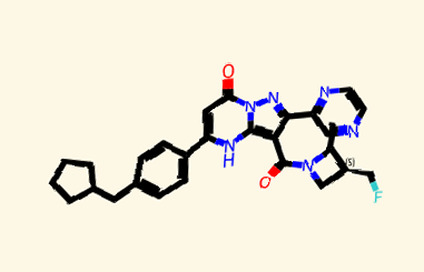 CC1[C@@H](CF)CN1C(=O)c1c(-c2cnccn2)nn2c(=O)cc(-c3ccc(CC4CCCC4)cc3)[nH]c12